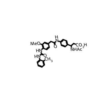 COc1cc(CC(=O)Nc2ccc(C(CC(=O)O)NC(C)=O)cc2)ccc1NC(=O)Nc1ccccc1C